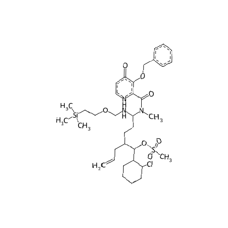 C=CCC(CCC(NCOCC[Si](C)(C)C)N(C)C(=O)c1[nH]ccc(=O)c1OCc1ccccc1)C(OS(C)(=O)=O)C1CCCCC1Cl